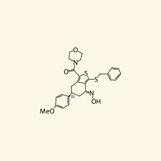 COc1ccc([C@@H]2CC(=NO)c3c(SCc4ccccc4)sc(C(=O)N4CCOCC4)c3C2)cc1